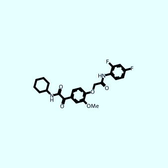 COc1cc(C(=O)C(=O)NC2CCCCC2)ccc1OCC(=O)Nc1ccc(F)cc1F